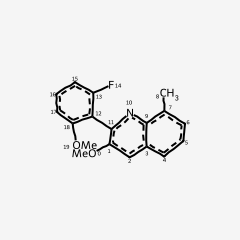 COc1cc2cccc(C)c2nc1-c1c(F)cccc1OC